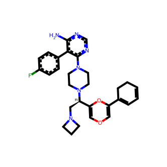 Nc1ncnc(N2CCN([C@H](CN3CCC3)C3=COC=C(C4=CC=CCC4)O3)CC2)c1-c1ccc(F)cc1